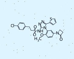 COc1ccc(N2CCC2=O)cc1-n1c(NS(=O)(=O)CCc2ccc(Cl)cc2)nnc1-c1cccs1